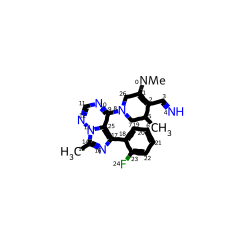 CNC1=C(C=N)C(C)CN(c2ncnn3c(C)nc(-c4ccccc4F)c23)C1